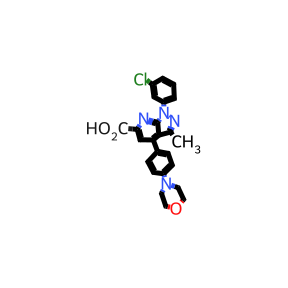 Cc1nn(-c2cccc(Cl)c2)c2nc(C(=O)O)cc(-c3ccc(N4CCOCC4)cc3)c12